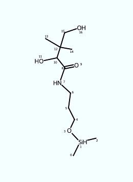 C[SiH](C)OCCCNC(=O)C(O)C(C)(C)CO